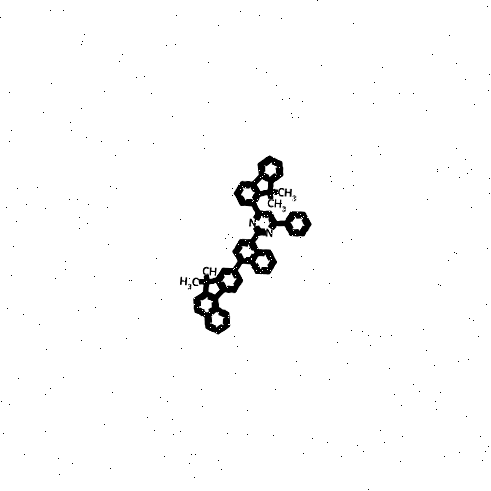 CC1(C)c2cc(-c3ccc(-c4nc(-c5ccccc5)cc(-c5cccc6c5C(C)(C)c5ccccc5-6)n4)c4ccccc34)ccc2-c2c1ccc1ccccc21